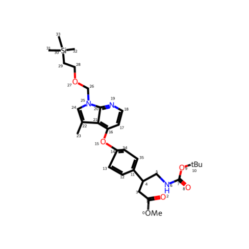 COC(=O)CC(CNC(=O)OC(C)(C)C)c1ccc(Oc2ccnc3c2c(C)cn3COCC[Si](C)(C)C)cc1